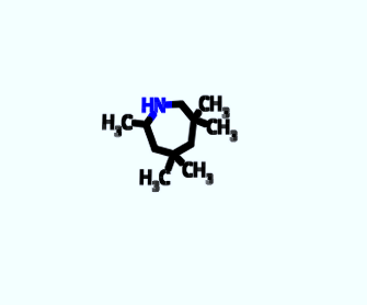 CC1CC(C)(C)CC(C)(C)CN1